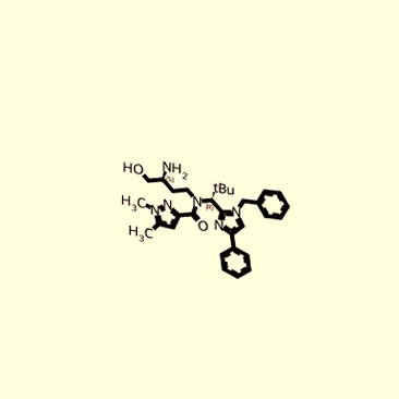 Cc1cc(C(=O)N(CC[C@H](N)CO)[C@@H](c2nc(-c3ccccc3)cn2Cc2ccccc2)C(C)(C)C)nn1C